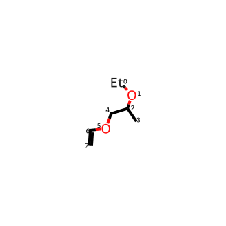 [CH2]COC(C)COC=C